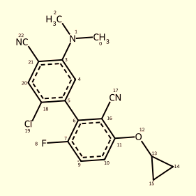 CN(C)c1cc(-c2c(F)[c]cc(OC3CC3)c2C#N)c(Cl)cc1C#N